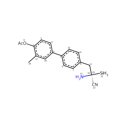 CC(=O)Oc1ccc(-c2ccc(C[C@](N)([SiH3])C#N)cc2)cc1C